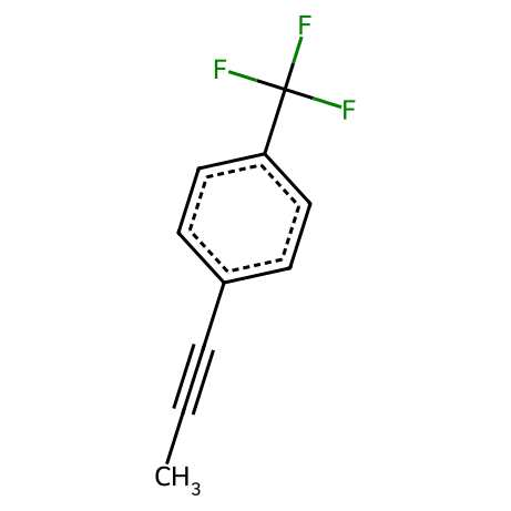 CC#Cc1ccc(C(F)(F)F)cc1